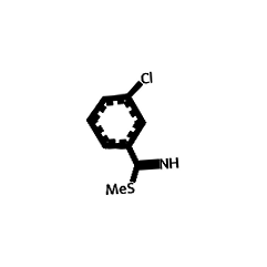 CSC(=N)c1cccc(Cl)c1